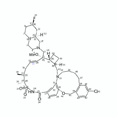 CO[C@@]1(CN2CCN3CC[C@@H](F)C[C@H]3C2)/C=C/C[C@H](C)[C@@H](C)S(=O)(=O)NC(=O)c2ccc3c(c2)N(CCCCc2cc(Cl)ccc2CO3)C[C@@H]2CC[C@H]21